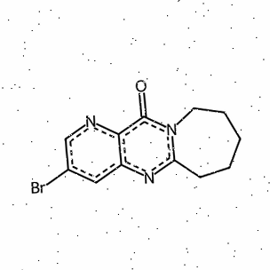 O=c1c2ncc(Br)cc2nc2n1CCCCC2